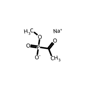 COP(=O)([O-])C(C)=O.[Na+]